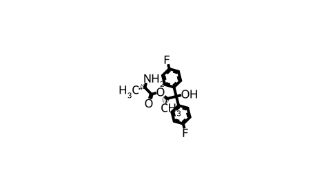 C[C@H](N)C(=O)O[C@@H](C)C(O)(c1ccc(F)cc1)c1ccc(F)cc1